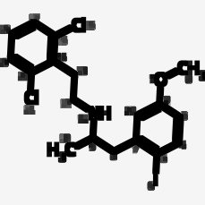 COc1ccc(I)c(CC(C)NCCc2c(Cl)cccc2Cl)c1